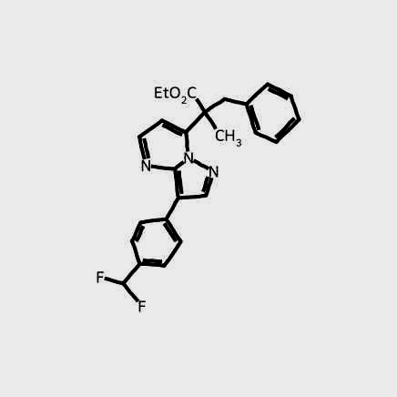 CCOC(=O)C(C)(Cc1ccccc1)c1ccnc2c(-c3ccc(C(F)F)cc3)cnn12